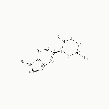 CN1CCN(I)C[C@H]1c1ccc2c(cnn2C)c1